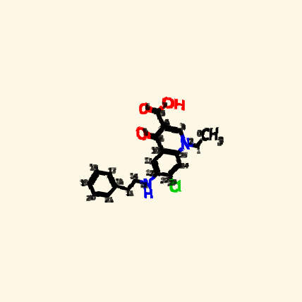 CCn1cc(C(=O)O)c(=O)c2cc(NCCc3ccccc3)c(Cl)cc21